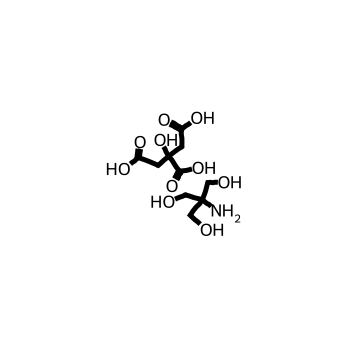 NC(CO)(CO)CO.O=C(O)CC(O)(CC(=O)O)C(=O)O